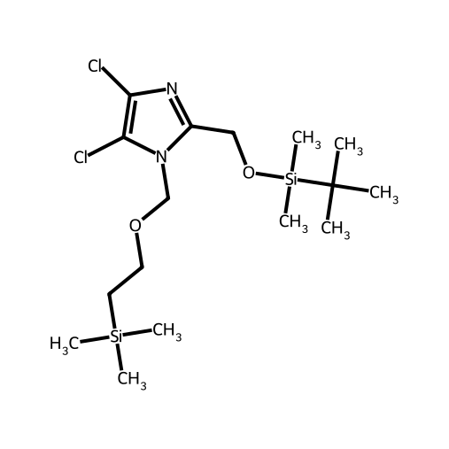 CC(C)(C)[Si](C)(C)OCc1nc(Cl)c(Cl)n1COCC[Si](C)(C)C